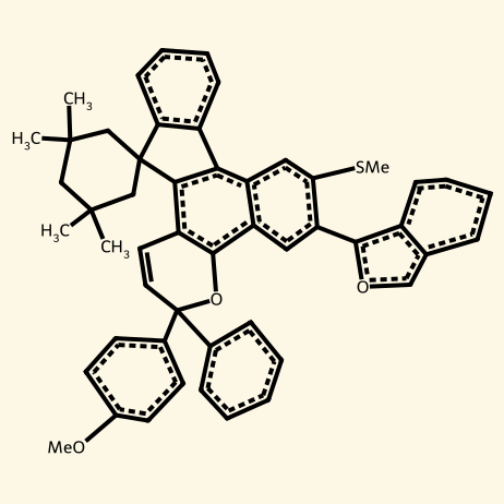 COc1ccc(C2(c3ccccc3)C=Cc3c4c(c5cc(SC)c(-c6occ7ccccc67)cc5c3O2)-c2ccccc2C42CC(C)(C)CC(C)(C)C2)cc1